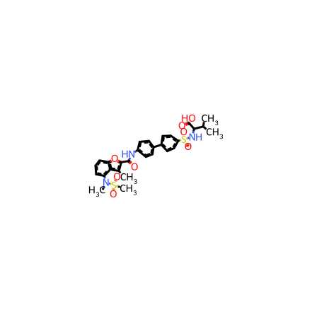 Cc1c(C(=O)Nc2ccc(-c3ccc(S(=O)(=O)NC(C(=O)O)C(C)C)cc3)cc2)oc2cccc(N(C)S(C)(=O)=O)c12